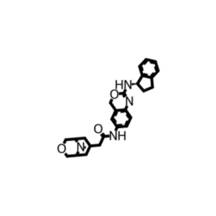 CN1C2COCC1CC(CC(=O)Nc1ccc3c(c1)COC(N[C@@H]1CCc4ccccc41)=N3)C2